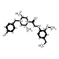 CCc1ccc(OCC(=O)N2C[C@H](C)N(Cc3ccc(F)cc3)C[C@H]2C)c(OC)c1